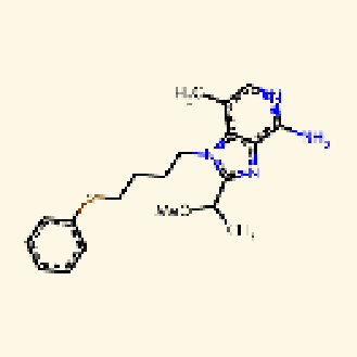 COC(C)c1nc2c(N)ncc(C)c2n1CCCCSc1ccccc1